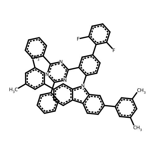 Cc1cc(C)cc(-c2ccc3c4ccc(-c5cc(C)cc(C)c5)cc4n(-c4ccc(-c5c(F)cccc5F)cc4-c4nc(-c5ccccc5)nc(-c5ccccc5)n4)c3c2)c1